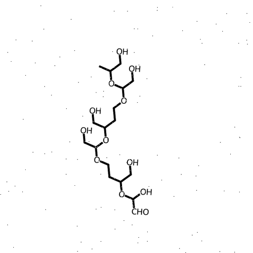 CC(CO)OC(CO)OCCC(CO)OC(CO)OCCC(CO)OC(O)C=O